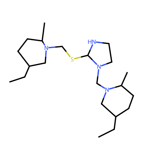 CCC1CCC(C)N(CSC2NCCN2CN2CC(CC)CCC2C)C1